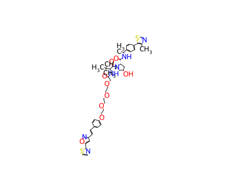 Cc1ncsc1-c1ccc([C@H](C)NC(=O)[C@@H]2C[C@@H](O)CN2C(=O)C(NC(=O)COCCOCCOCCOc2ccc(/C=C/c3cc(-c4nccs4)on3)cc2)C(C)(C)C)cc1